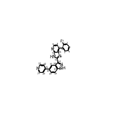 Fc1ccccc1-c1ccnc2[nH]c(-c3n[nH]c4ccc(-c5ccncc5)cc34)nc12